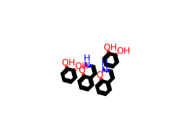 C1=Cc2ccccc2ON1.C1=Cc2ccccc2ON1.Oc1ccccc1O.Oc1ccccc1O